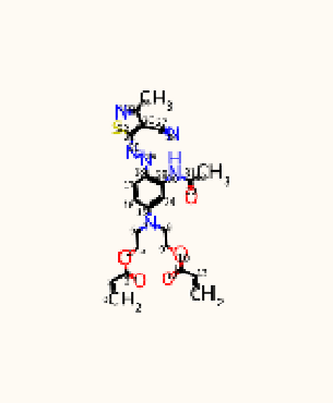 C=CC(=O)OCCN(CCOC(=O)C=C)c1ccc(/N=N/c2snc(C)c2C#N)c(NC(C)=O)c1